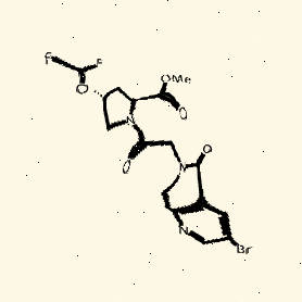 COC(=O)[C@@H]1C[C@@H](OC(F)F)CN1C(=O)CN1Cc2ncc(Br)cc2C1=O